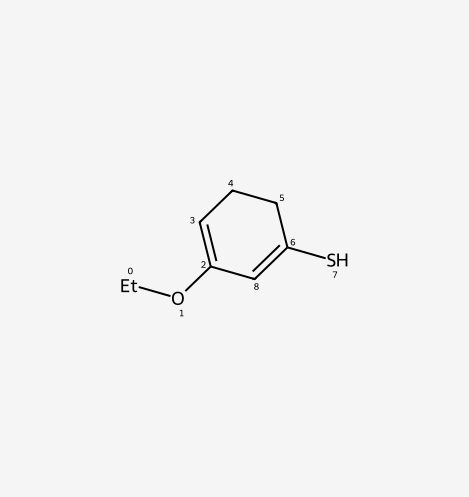 CCOC1=CCCC(S)=C1